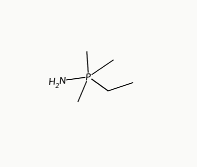 CCP(C)(C)(C)N